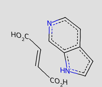 O=C(O)C=CC(=O)O.c1cc2cc[nH]c2cn1